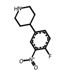 O=[N+]([O-])c1cc(C2CCNCC2)ccc1F